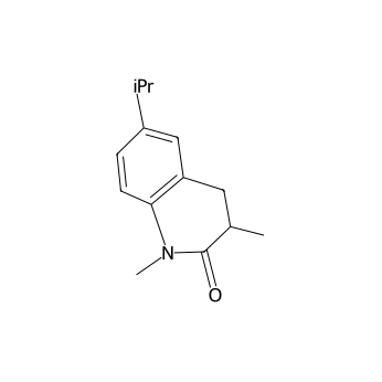 CC1Cc2cc(C(C)C)ccc2N(C)C1=O